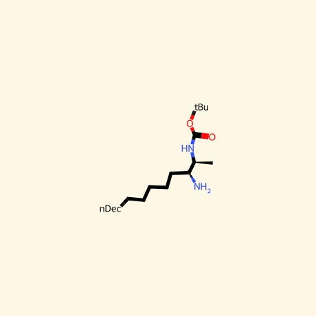 CCCCCCCCCCCCCCC[C@H](N)[C@H](C)NC(=O)OC(C)(C)C